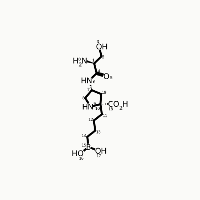 N[C@@H](CO)C(=O)N[C@H]1CN[C@@](CCCCB(O)O)(C(=O)O)C1